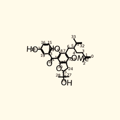 C=C(C)CCC(Cc1c(O)c(C(=O)c2cccc(O)c2)c2c(c1OC)CC(C(C)(C)O)O2)C(=C)C